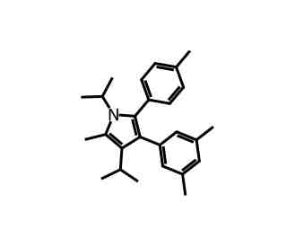 Cc1ccc(-c2c(-c3cc(C)cc(C)c3)c(C(C)C)c(C)n2C(C)C)cc1